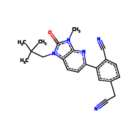 Cn1c(=O)n(CC(C)(C)C)c2ccc(-c3cc(CC#N)ccc3C#N)nc21